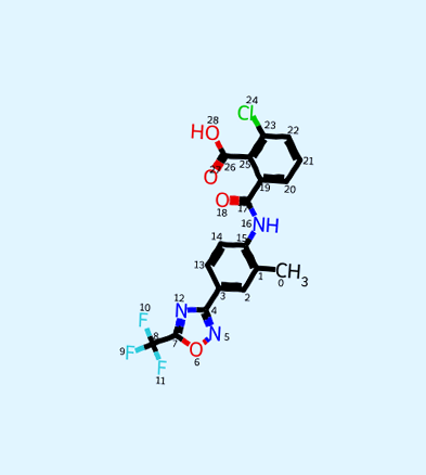 Cc1cc(-c2noc(C(F)(F)F)n2)ccc1NC(=O)c1cccc(Cl)c1C(=O)O